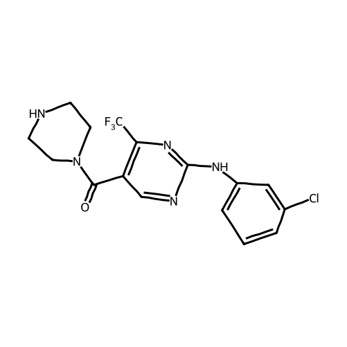 O=C(c1cnc(Nc2cccc(Cl)c2)nc1C(F)(F)F)N1CCNCC1